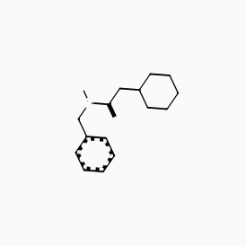 CN(Cc1ccccc1)C(=O)CC1CCCCC1